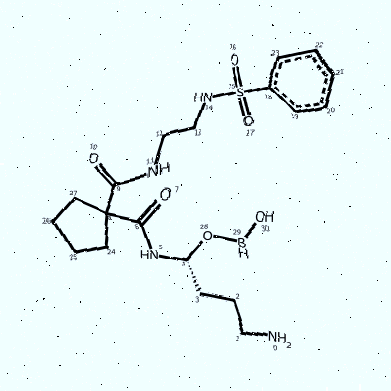 NCCC[C@H](NC(=O)C1(C(=O)NCCNS(=O)(=O)c2ccccc2)CCCC1)OBO